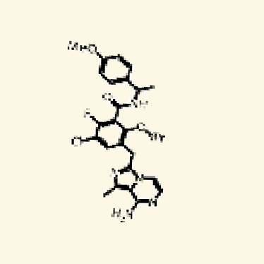 COc1ccc(C(C)NC(=O)c2c(F)c(Cl)cc(Cc3nc(C)c4c(N)nccn34)c2OC(C)C)cc1